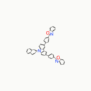 c1ccc2cc(-n3c4ccc(-c5ccc(-c6nc7ccccc7o6)cc5)cc4c4cc(-c5ccc(-c6nc7ccccc7o6)cc5)ccc43)ccc2c1